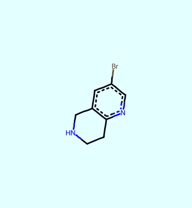 Brc1cnc2c(c1)CNCC2